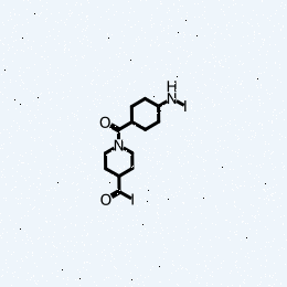 O=C(I)C1CCN(C(=O)C2CCC(NI)CC2)CC1